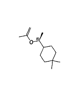 C=C(C)O[C@@H](C)C1CCC(C)(C)CC1